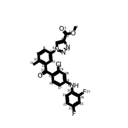 COC(=O)c1cn(-c2ccc(C)c(C(=O)c3ccc(Nc4ccc(F)cc4F)cc3Cl)c2)nn1